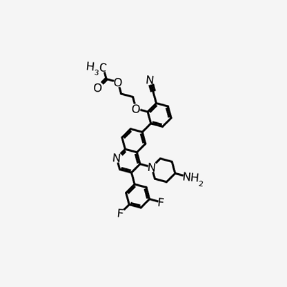 CC(=O)OCCOc1c(C#N)cccc1-c1ccc2ncc(-c3cc(F)cc(F)c3)c(N3CCC(N)CC3)c2c1